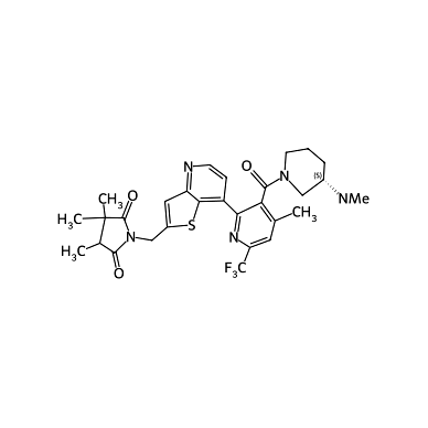 CN[C@H]1CCCN(C(=O)c2c(C)cc(C(F)(F)F)nc2-c2ccnc3cc(CN4C(=O)C(C)C(C)(C)C4=O)sc23)C1